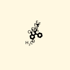 COc1ccc2c(=O)n(C)c(COCC(F)(F)F)c(-c3ccccc3)c2c1